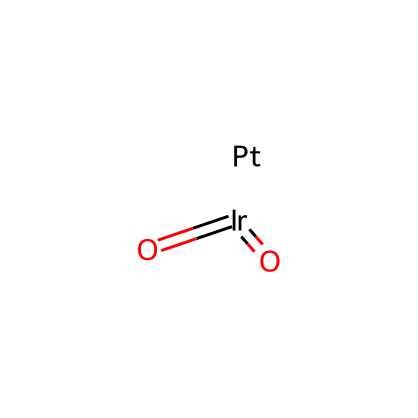 [O]=[Ir]=[O].[Pt]